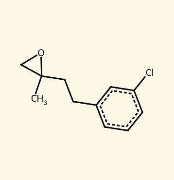 CC1(CCc2cccc(Cl)c2)CO1